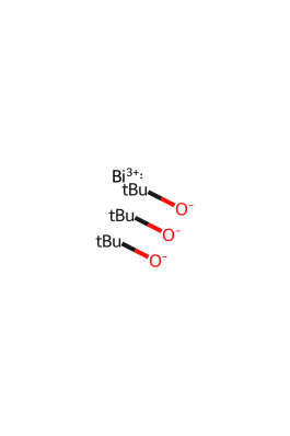 CC(C)(C)[O-].CC(C)(C)[O-].CC(C)(C)[O-].[Bi+3]